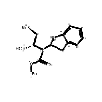 CSC[C@@H](C(=O)O)N(C(=O)OC(C)(C)C)C1Cc2ccccc2N1